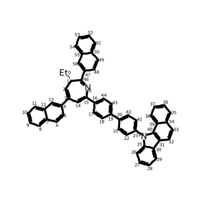 CC[C@H]1C=C(c2ccc3ccccc3c2)C=C(c2ccc(-c3ccc(-n4c5ccccc5c5ccc6ccccc6c54)cc3)cc2)N=C1c1ccc2ccccc2c1